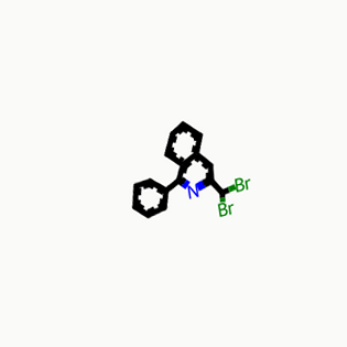 BrC(Br)c1cc2ccccc2c(-c2ccccc2)n1